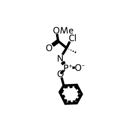 COC(=O)[C@@](C)(Cl)N=[P+]([O-])Oc1ccccc1